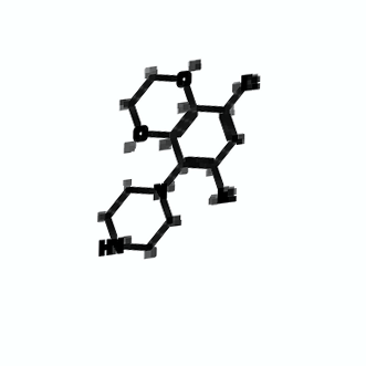 CCc1cc(CC)c(N2CCNCC2)c2c1OCCO2